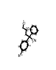 N#CC(CC(=O)CCl)(c1ccccc1)c1ccc(Br)cc1